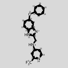 FC(F)(F)c1cc(NCc2nc3cc(Oc4ccccc4)ccc3[nH]2)ccn1